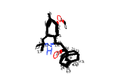 COc1cc2c(cc1C)CC(C)(C)NC2=CC(=O)C12CC3CC(CC(C3)C1)C2